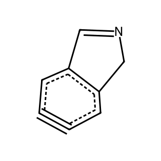 c1cc2c(cc#1)CN=C2